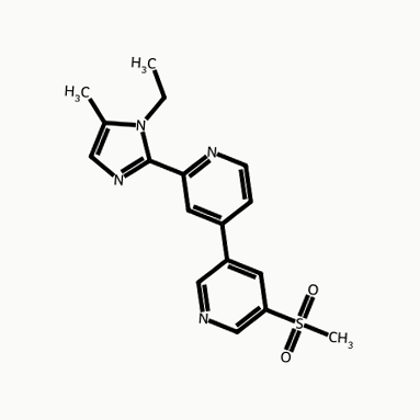 CCn1c(C)cnc1-c1cc(-c2cncc(S(C)(=O)=O)c2)ccn1